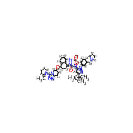 C[C@H]1CCCCN1c1nnc2ccc(O[C@@H]3CC[C@H](NC(=O)N(OC=O)c4cc(C(C)(C)C)nn4-c4cccc(CN5CCCC5)c4)c4ccccc43)cn12